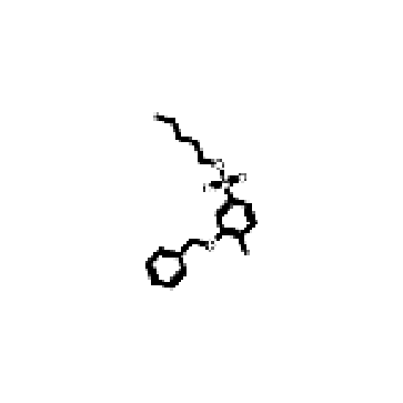 CCCCCOS(=O)(=O)c1ccc(C)c(OCc2ccccc2)c1